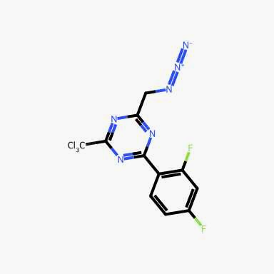 [N-]=[N+]=NCc1nc(-c2ccc(F)cc2F)nc(C(Cl)(Cl)Cl)n1